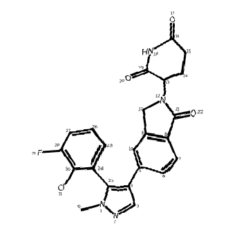 Cn1ncc(-c2ccc3c(c2)CN(C2CCC(=O)NC2=O)C3=O)c1-c1cccc(F)c1Cl